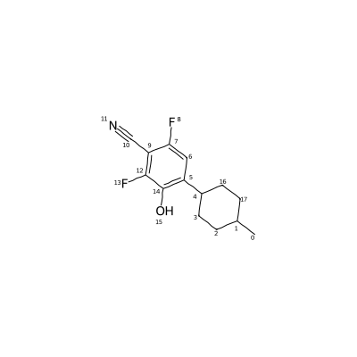 CC1CCC(c2cc(F)c(C#N)c(F)c2O)CC1